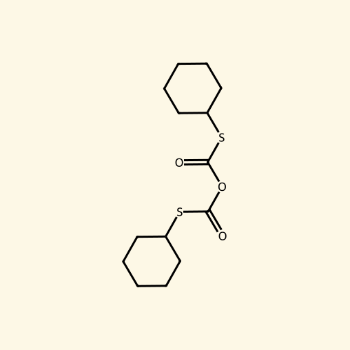 O=C(OC(=O)SC1CCCCC1)SC1CCCCC1